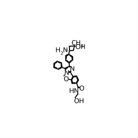 C[C@]1(O)C[C@@](N)(c2ccc(-c3nc4n(c3-c3ccccc3)COc3cc(C(=O)NCCO)ccc3-4)cc2)C1